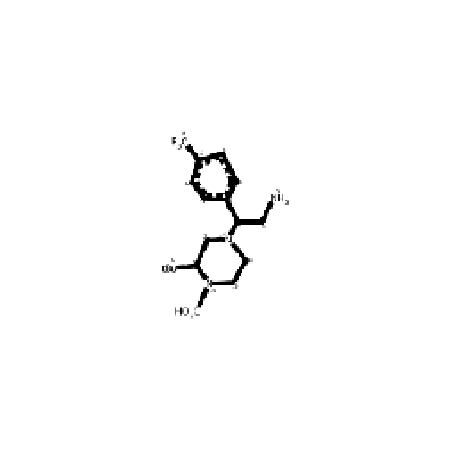 CC(C)(C)C1CN(C(CN)c2ccc(C(F)(F)F)cc2)CCN1C(=O)O